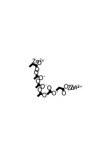 CC(=O)[O-].CC(=O)[O-].CC(=O)[O-].CC(=O)[O-].CCC(=O)[O-].CCC(=O)[O-].[Zn+2].[Zn+2].[Zn+2]